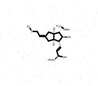 CCCCC[C@H](O)C=C[C@@H]1[C@H]2CC(=CCSCC)C[C@H]2C[C@H]1O.CNC